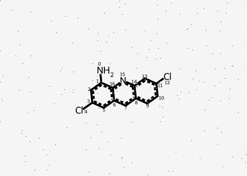 Nc1cc(Cl)cc2cc3ccc(Cl)cc3nc12